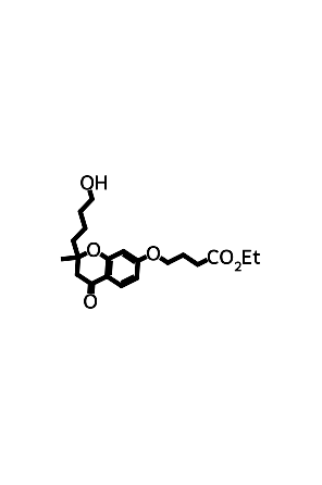 CCOC(=O)CCCOc1ccc2c(c1)OC(C)(CCCCO)CC2=O